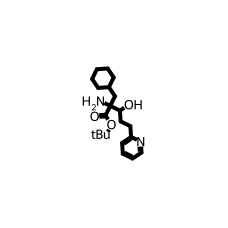 CC(C)(C)OC(=O)C(N)(CC1CCCCC1)C(O)CCc1ccccn1